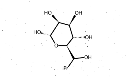 CC(C)C(O)[C@H]1O[C@H](O)[C@@H](O)[C@@H](O)[C@@H]1O